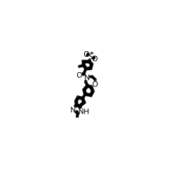 Cc1nc2ccc(-c3ccc4c(c3)CN(C(=O)c3ccc(S(C)(=O)=O)cc3C)CCO4)cc2[nH]1